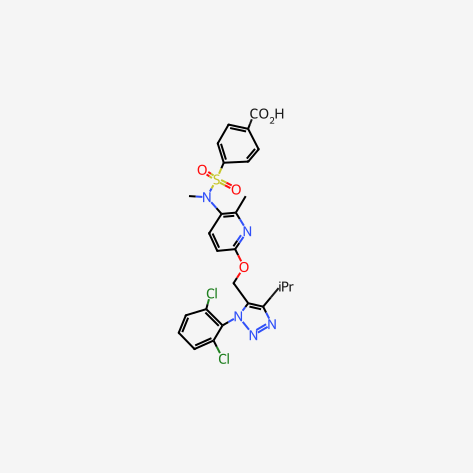 Cc1nc(OCc2c(C(C)C)nnn2-c2c(Cl)cccc2Cl)ccc1N(C)S(=O)(=O)c1ccc(C(=O)O)cc1